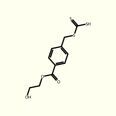 O=C(OCCO)c1ccc(CSC(=S)S)cc1